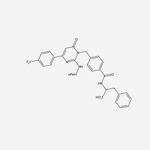 CCCCCNc1nc(-c2ccc(C(F)(F)F)cc2)cc(=O)n1Cc1ccc(C(=O)NC(Cc2ccccc2)C(=O)O)cc1